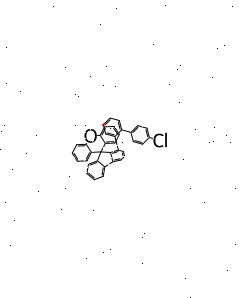 Clc1ccc(-c2ccccc2-c2cccc3c2C2(c4ccccc4Oc4ccccc42)c2ccccc2-3)cc1